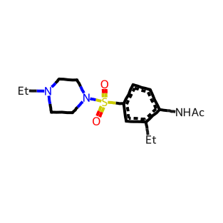 CCc1cc(S(=O)(=O)N2CCN(CC)CC2)ccc1NC(C)=O